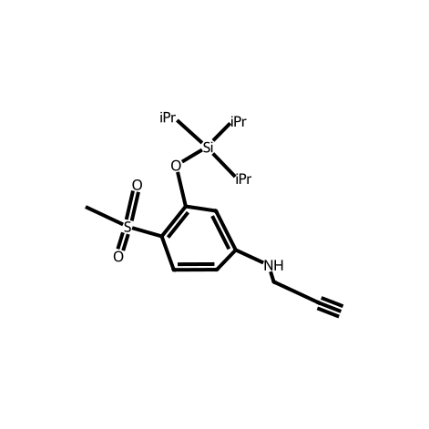 C#CCNc1ccc(S(C)(=O)=O)c(O[Si](C(C)C)(C(C)C)C(C)C)c1